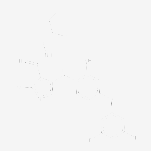 Cc1cc(Oc2cc(F)cc(F)c2)ccc1Nc1snc(O)c1C(=N)NCC(O)CO